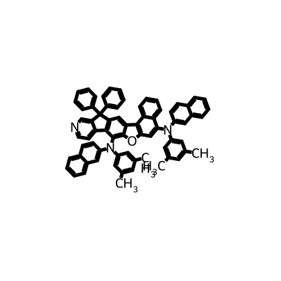 Cc1cc(C)cc(N(c2ccc3ccccc3c2)c2cc3oc4c(N(c5cc(C)cc(C)c5)c5ccc6ccccc6c5)c5c(cc4c3c3ccccc23)C(c2ccccc2)(c2ccccc2)c2cnccc2-5)c1